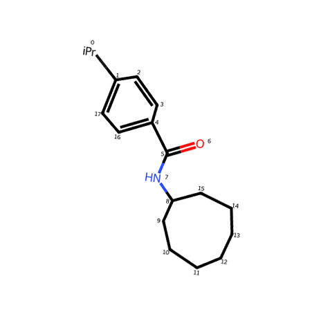 CC(C)c1ccc(C(=O)NC2CCCCCCC2)cc1